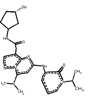 CC(C)n1cccc(Nc2cc(N(C)C)n3ncc(C(=O)NC4CC[C@H](O)C4)c3n2)c1=O